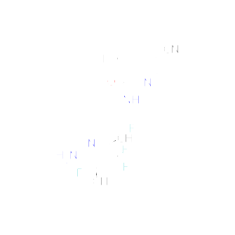 Cc1cc(C#N)cnc1C(=O)Nc1cccc([C@@]2(C)N=C(N)[C@@](C)(F)CC2(F)F)c1F